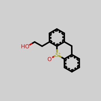 [O-][S+]1c2ccccc2Cc2cccc(CCO)c21